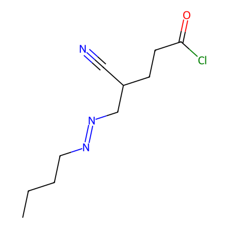 CCCCN=NCC(C#N)CCC(=O)Cl